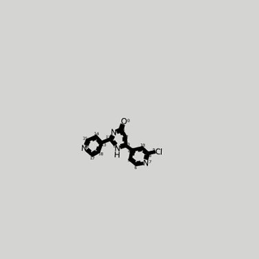 O=c1cc(-c2ccnc(Cl)c2)[nH]c(-c2ccncc2)n1